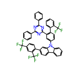 FC(F)(F)c1ccc(-c2ccc3c4ccccc4n(-c4ccc(-c5ccccc5C(F)(F)F)c(-c5nc(-c6ccccc6)nc(-c6ccccc6)n5)c4)c3c2)c(C(F)(F)F)c1